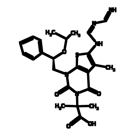 Cc1c(N/C=N\C=N)sc2c1c(=O)n(C(C)(C)C(=O)O)c(=O)n2C[C@H](OC(C)C)c1ccccc1